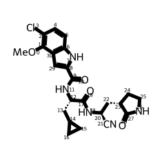 COc1c(Cl)ccc2[nH]c(C(=O)N[C@@H](CC3CC3)C(=O)N[C@H](C#N)C[C@@H]3CCNC3=O)cc12